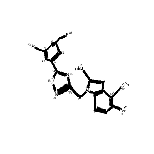 [C-]#[N+]c1ccc2c(cc(CCCC)n2Cc2noc(-c3cc(F)cc(F)c3)n2)c1C(F)(F)F